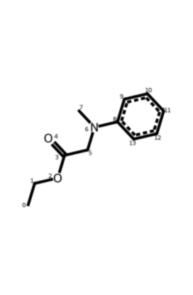 CCOC(=O)CN(C)c1cc[c]cc1